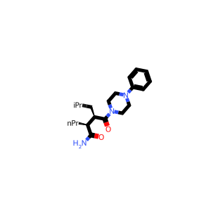 CCC[C@H](C(N)=O)[C@@H](CC(C)C)C(=O)N1CCN(c2ccccc2)CC1